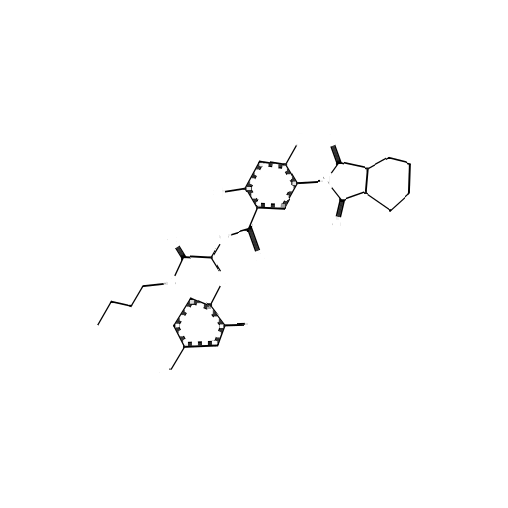 CCCCOC(=O)C(OC(=O)c1cc(N2C(=O)C3CCCCC3C2=O)c(F)cc1Cl)Oc1ccc(Cl)cc1Cl